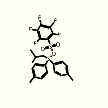 Cc1ccc(S(CC(C)C)(OS(=O)(=O)c2c(F)c(F)c(F)c(F)c2F)c2ccc(C)cc2)cc1